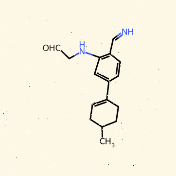 CC1CC=C(c2ccc(C=N)c(NCC=O)c2)CC1